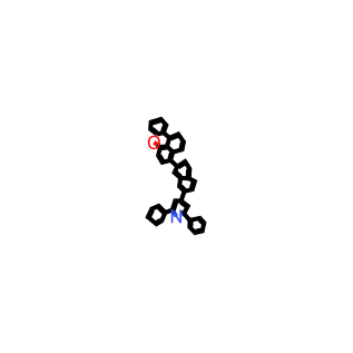 c1ccc(-c2cc(-c3ccc4ccc(-c5ccc6c7c(cccc57)-c5ccccc5O6)cc4c3)cc(-c3ccccc3)n2)cc1